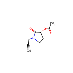 C#CCN1CC[C@@H](OC(C)=O)C1=O